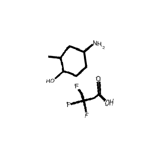 CC1CC(N)CCC1O.O=C(O)C(F)(F)F